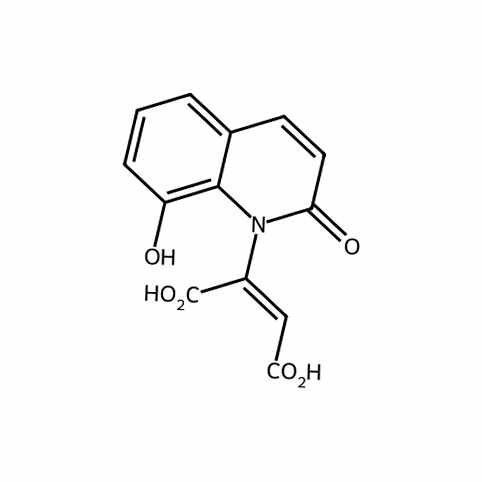 O=C(O)/C=C(\C(=O)O)n1c(=O)ccc2cccc(O)c21